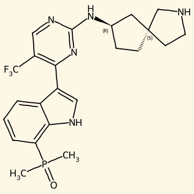 CP(C)(=O)c1cccc2c(-c3nc(N[C@@H]4CC[C@]5(CCNC5)C4)ncc3C(F)(F)F)c[nH]c12